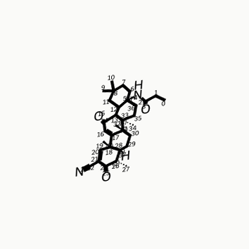 CCC(=O)N[C@]12CCC(C)(C)CC1C1C(=O)C=C3[C@@]4(C)C=C(C#N)C(=O)[C@@H](C)[C@@H]4CC[C@@]3(C)[C@]1(C)CC2